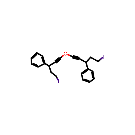 ICCC(C#COC#CC(CCI)c1ccccc1)c1ccccc1